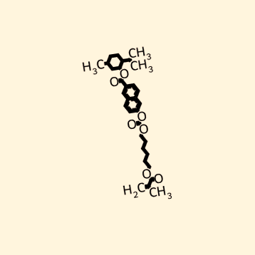 C=C(C)C(=O)OCCCCCCOC(=O)Oc1ccc2cc(C(=O)OC3CC(C)CCC3C(C)C)ccc2c1